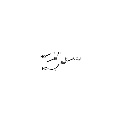 CC(C)(C)OO.CCC.O=C(O)O.O=C(O)O